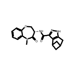 CN1C(=O)[C@@H](NC(=O)c2n[nH]c3c2C2CC(C3)C2)COc2ccccc21